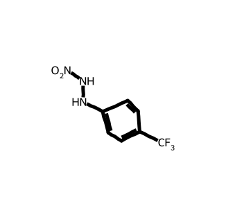 O=[N+]([O-])NNc1ccc(C(F)(F)F)cc1